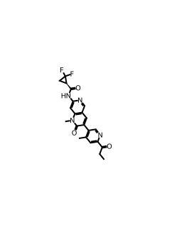 CCC(=O)c1cc(C)c(-c2cc3cnc(NC(=O)[C@H]4CC4(F)F)cc3n(C)c2=O)cn1